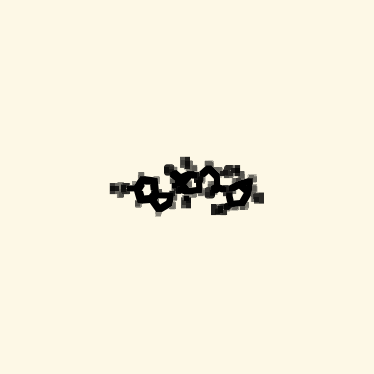 Cc1ccc2c(c1)CC[C@H]2N1C(=O)[C@@H]2C[C@H]1CN2C[C@H](C)C(=O)N1C2C[C@H]2C[C@H]1C#N